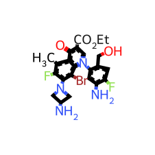 CCOC(=O)c1cn(-c2cc(N)c(F)cc2CO)c2c(Br)c(N3CC(N)C3)c(F)c(C)c2c1=O